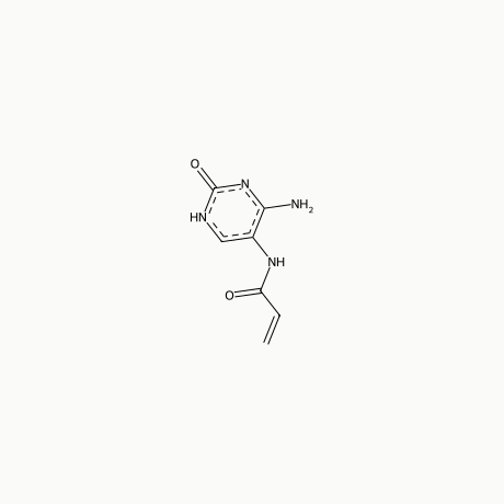 C=CC(=O)Nc1c[nH]c(=O)nc1N